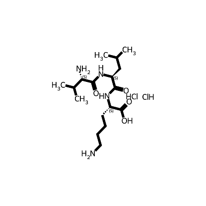 CC(C)C[C@H](NC(=O)[C@@H](N)C(C)C)C(=O)N[C@@H](CCCCN)C(=O)O.Cl.Cl